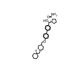 NC(=O)[C@@H]1CCCN1C(O)c1ccc(-c2ccc(OCC3CCN(CC4(F)CCCCC4)CC3)cc2)cc1